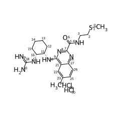 CSCCNC(=O)c1nc(N[C@H]2CCCC[C@H]2NC(=N)N)c2cc(C)ccc2n1.Cl.Cl